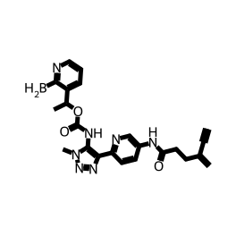 Bc1ncccc1C(C)OC(=O)Nc1c(-c2ccc(NC(=O)CCC(=C)C#C)cn2)nnn1C